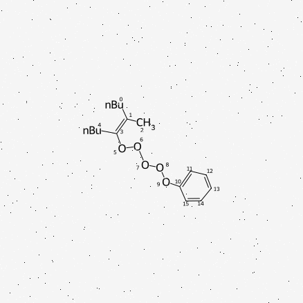 CCCCC(C)=C(CCCC)OOOOOc1ccccc1